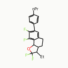 CCCc1ccc(-c2cc3c(c(F)c2F)C2OC(F)(F)C(CC)C2CC3)cc1